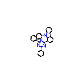 c1ccc(-c2nc(-c3ccccc3)nc(-c3cccc4c5ccccc5n(-c5ccccc5)c34)n2)cc1